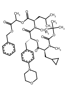 CC(C)C[C@H](C(=O)OC(C)C(=O)OCc1ccccc1)N(C)C(=O)[C@@H](Cc1ccc(N2CCOCC2)cc1)OC(=O)[C@H](CC1CC1)N(C)C(=O)OC(C)(C)C